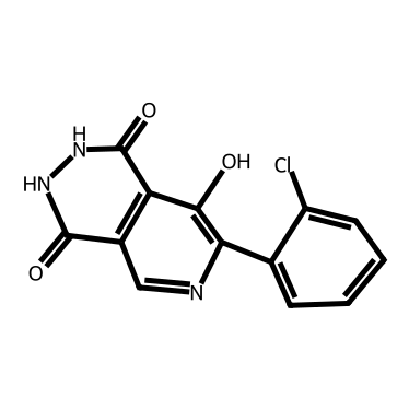 O=c1[nH][nH]c(=O)c2c(O)c(-c3ccccc3Cl)ncc12